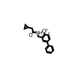 O=C(CC1CC1)NCc1cc(-c2ccccc2)ccc1C(F)(F)F